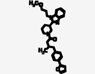 COCCCn1c([C@@H]2CCCN(C(=O)C[C@H](C)Cc3ccc(-c4ccco4)cc3)C2)nc2ccccc21